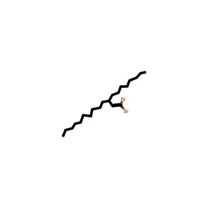 CCCCCCCCCCC(C=C(Br)Br)CCCCCCCC